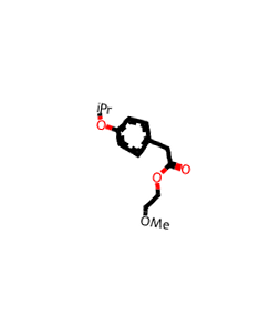 COCCOC(=O)Cc1ccc(OC(C)C)cc1